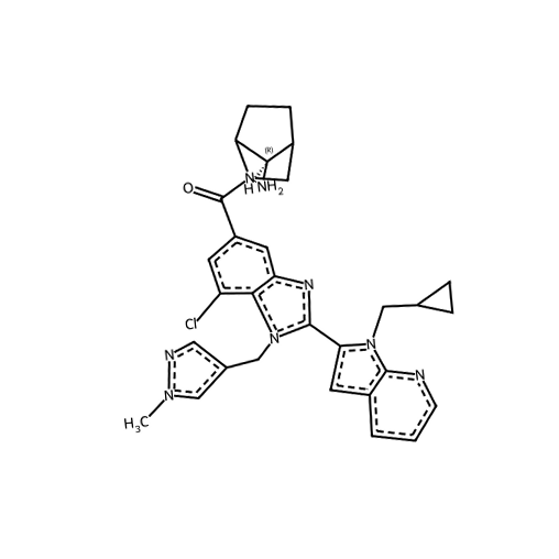 Cn1cc(Cn2c(-c3cc4cccnc4n3CC3CC3)nc3cc(C(=O)N4CC5CCC4[C@@H]5N)cc(Cl)c32)cn1